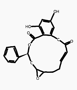 O=C1/C=C/CCC2OC2C[C@@H](c2ccccc2)OC(=O)c2c(O)cc(O)cc2C1